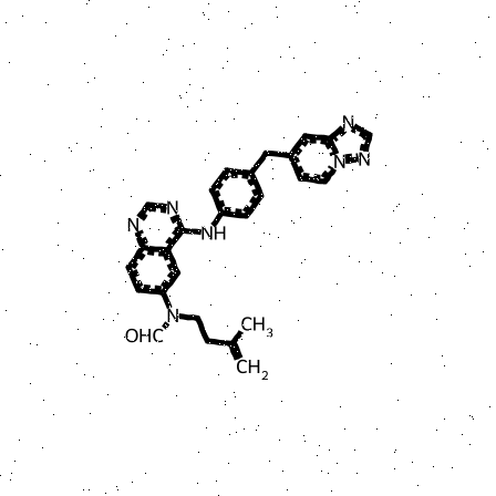 C=C(C)CCN(C=O)c1ccc2ncnc(Nc3ccc(Cc4ccn5ncnc5c4)cc3)c2c1